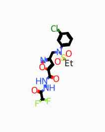 CCS(=O)(=O)N(Cc1cc(C(=O)NNC(=O)C(F)F)on1)c1cccc(Cl)c1